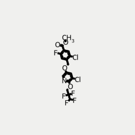 COC(=O)c1cc(Cl)c(COc2cnc(OCC(F)(F)C(F)F)c(Cl)c2)cc1F